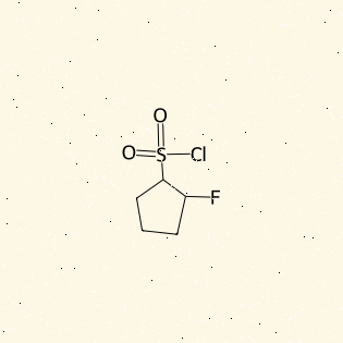 O=S(=O)(Cl)C1CCCC1F